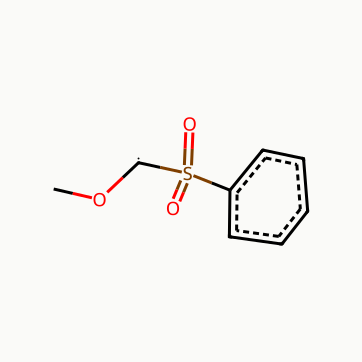 CO[CH]S(=O)(=O)c1ccccc1